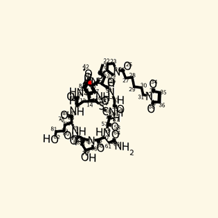 CC[C@H](C)[C@@H]1NC(=O)CNC(=O)[C@@H]2Cc3c([nH]c4c(CS[C@H]5CCN(C(=O)CCCCCN6C(=O)C=CC6=O)C5)c(OC)ccc34)[S+]([O-])C[C@H](NC(O)CNC1=O)C(=O)N[C@@H](CC(N)=O)C(=O)N1C[C@H](O)C[C@H]1C(=O)N[C@@H]([C@@H](C)[C@@H](O)CO)C(=O)N2